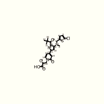 CN(Cc1ccc(Cl)s1)c1cc(-c2ccn(CC(=O)C(=O)O)c(=O)c2)nn1C(=O)C(C)(C)C